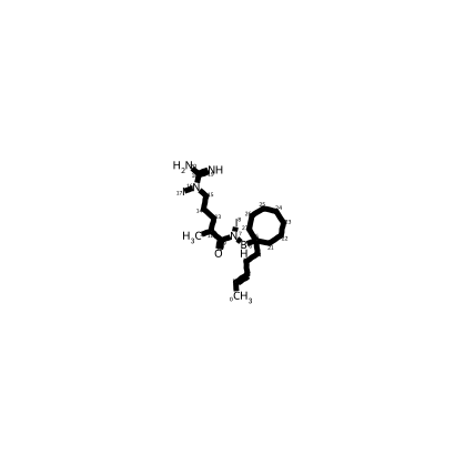 C/C=C/CCC1(BN(I)C(=O)C(C)CCCN(I)C(=N)N)CCCCCCC1